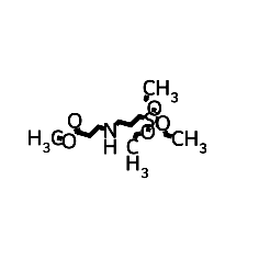 CCO[Si](CCCNCCC(=O)OC)(OCC)OCC